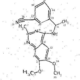 COc1cc2nc(C)nc(NC(C)c3cccc(C#N)c3)c2cc1OC